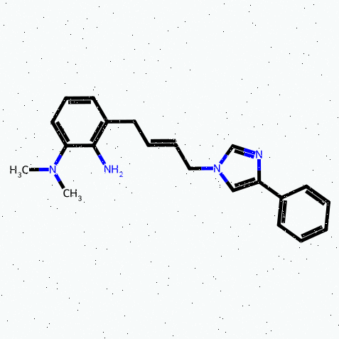 CN(C)c1cccc(CC=CCn2cnc(-c3ccccc3)c2)c1N